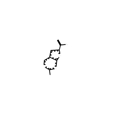 NC(=O)c1cc2cnc(Cl)nc2[nH]1